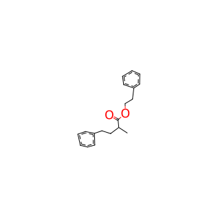 CC(CCc1ccccc1)C(=O)OCCc1ccccc1